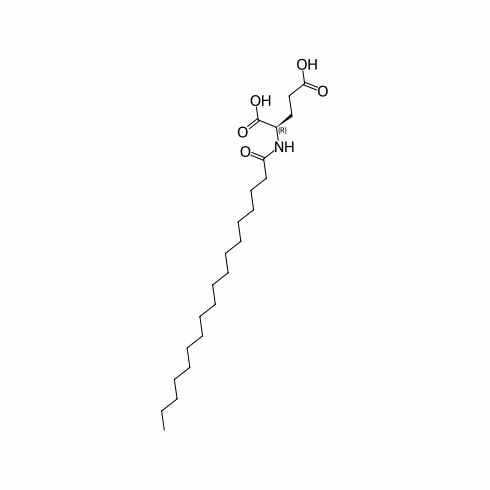 CCCCCCCCCCCCCCCCCC(=O)N[C@H](CCC(=O)O)C(=O)O